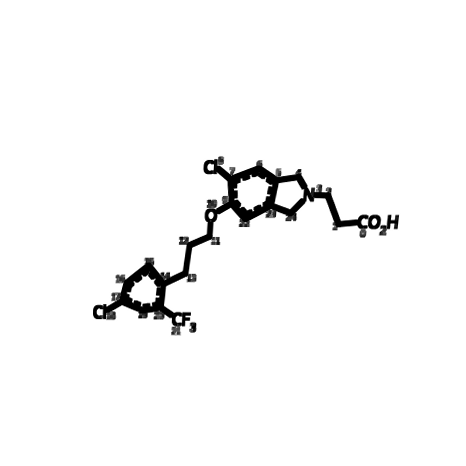 O=C(O)CCN1Cc2cc(Cl)c(OCCCc3ccc(Cl)cc3C(F)(F)F)cc2C1